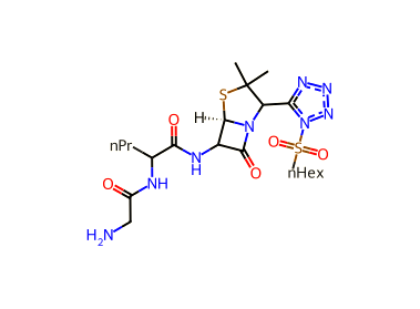 CCCCCCS(=O)(=O)n1nnnc1C1N2C(=O)C(NC(=O)C(CCC)NC(=O)CN)[C@H]2SC1(C)C